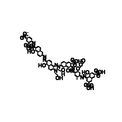 Cc1cc(N=Nc2c(S(=O)(=O)O)cc3ccc(N=Nc4c(N(CCO)CCO)ccc5c(O)c(N=Nc6ccc7c(O)c(N=Nc8ccc([N+](=O)[O-])cc8S(=O)(=O)O)ccc7c6)ccc45)cc3c2O)c(OCOC=O)cc1N=Nc1cc(S(=O)(=O)O)cc2cc(S(=O)(=O)O)cc(O)c12